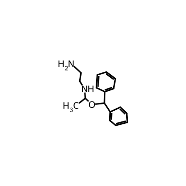 CC(NCCN)OC(c1ccccc1)c1ccccc1